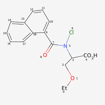 CCOCC(C(=O)O)N(Cl)C(=O)c1cccc2ccccc12